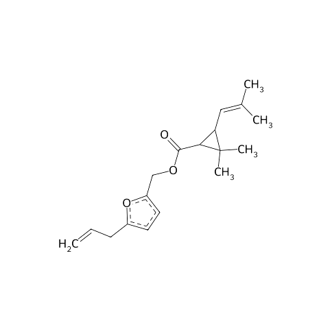 C=CCc1ccc(COC(=O)C2C(C=C(C)C)C2(C)C)o1